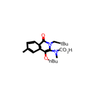 CCCCOc1c(N(C)C(=O)O)n(CC(C)(C)C)c(=O)c2ccc(C)cc12